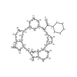 O=C(C1CCCCC1)n1c2cncc(c2)c2cc3c(cn2)[nH]nc3c2nc3c(ccnc3c3ccc1s3)[nH]2